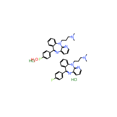 CN(C)CCCN1c2ccccc2C(c2ccc(F)cc2)=Nc2cccnc21.CN(C)CCCN1c2ccccc2C(c2ccc(F)cc2)=Nc2cccnc21.Cl.Cl.O